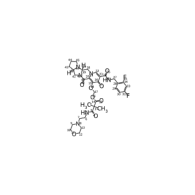 CC(C)(C(=O)NCCN1CCOCC1)C(=O)OCOc1c2n(cc(C(=O)NCc3ccc(F)cc3F)c1=O)C[C@@H]1N(C[C@H]3CCCN31)C2=O